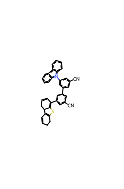 N#Cc1cc(C2=C3SC4=C(C=CCC4)C3CC=C2)cc(-c2cc(C#N)cc(-n3c4ccccc4c4ccccc43)c2)c1